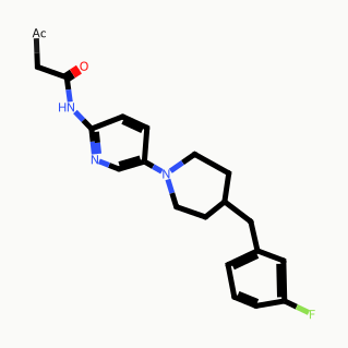 CC(=O)CC(=O)Nc1ccc(N2CCC(Cc3cccc(F)c3)CC2)cn1